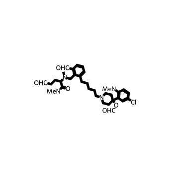 CNC(=O)C(CCC=O)N(C)Cc1c(C=O)cccc1CCCCCN1CCC(OC=O)(c2cc(Cl)ccc2NC)CC1